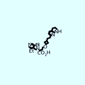 CCc1cncc(Cl)c1CN[C@H](CCOC1CC(CCc2ccc3c(n2)NCCC3)C1)C(=O)O